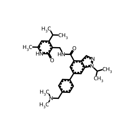 Cc1cc(C(C)C)c(CNC(=O)c2cc(-c3ccc(CN(C)C)cc3)cc3c2cnn3C(C)C)c(=O)[nH]1